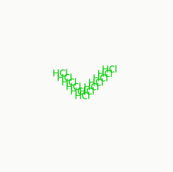 Cl.Cl.Cl.Cl.Cl.Cl.Cl.Cl.Cl.Cl.Cl.Cl